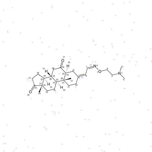 CN(C)CCO/N=C\C=C1\CC[C@@]2(C)[C@H](C1)C(=O)C[C@@H]1[C@@H]2CC[C@]2(C)C(=O)CC[C@@H]12